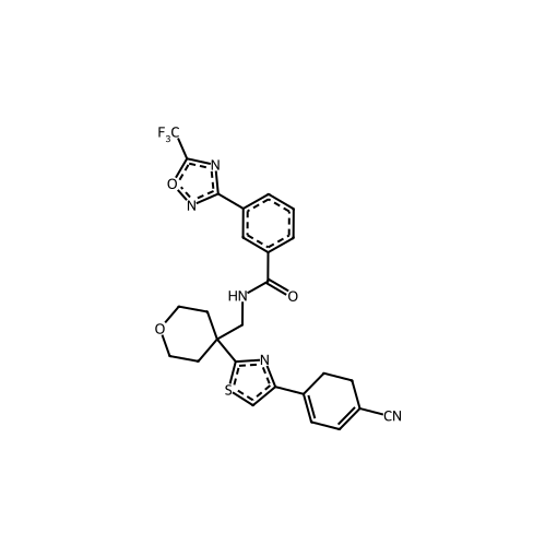 N#CC1=CC=C(c2csc(C3(CNC(=O)c4cccc(-c5noc(C(F)(F)F)n5)c4)CCOCC3)n2)CC1